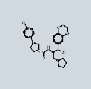 O=C(NC(CN1CCCC1)C(O)c1ccc2c(c1)OCCO2)[C@@H]1CCN(c2ccc(Cl)cc2)C1